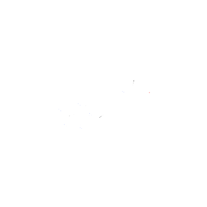 CCCCCOC(O)[C@H](CCSC)NP1(=O)CO[C@@H](Cn2cnc3c(N)ncnc32)CO1